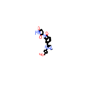 Cn1cc(-c2ccc3c(c2)CN(C2CCC(=O)NC2=O)C3=O)nc1-c1ccc(CO)cc1